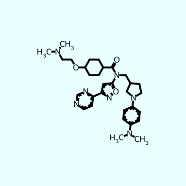 CN(C)CCOC1CCC(C(=O)N(CC2CCN(c3ccc(N(C)C)cc3)C2)c2cc(-c3ccncn3)no2)CC1